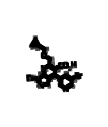 CCn1ncc2c(-c3cncc(Br)c3)c(C(=O)O)c(COCC3CC3)nc21